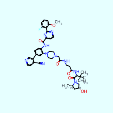 COc1cccc(F)c1-c1nccc(C(=O)Nc2ccc(-c3cnccc3C#N)cc2N2CCN(CC(=O)NCCC(=O)N[C@H](C(=O)N3C[C@H](O)C[C@H]3C)C(C)(C)C)CC2)n1